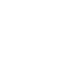 C1CCCCC1.O=C(O)O.O=C(O)O.c1ccc(C2CCCCC2c2ccccc2)cc1